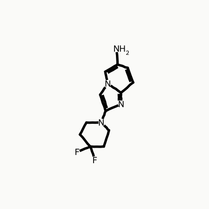 Nc1ccc2nc(N3CCC(F)(F)CC3)cn2c1